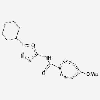 COc1ccc(C(=O)Nc2nnc(C3CCCCC3)o2)cc1